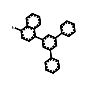 Brc1ccc(-c2cc(-c3ccccc3)cc(-c3ccccc3)c2)c2ccccc12